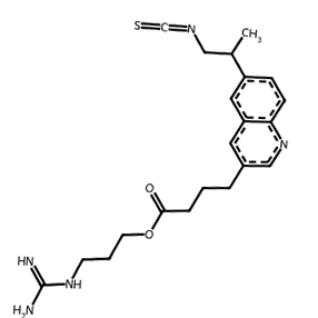 CC(CN=C=S)c1ccc2ncc(CCCC(=O)OCCCNC(=N)N)cc2c1